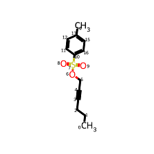 CCCC#CCOS(=O)(=O)c1ccc(C)cc1